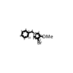 COc1cn(Cc2ccccc2)nc1Br